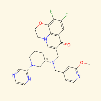 COc1cc(CN(Cc2cn3c4c(c(F)c(F)cc4c2=O)OCC3)[C@H]2CCCN(c3cnccn3)C2)ccn1